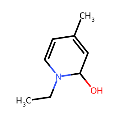 CCN1C=CC(C)=CC1O